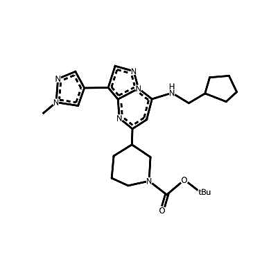 Cn1cc(-c2cnn3c(NCC4CCCC4)cc(C4CCCN(C(=O)OC(C)(C)C)C4)nc23)cn1